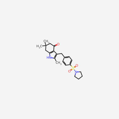 Cc1[nH]c2c(c1Cc1ccc(S(=O)(=O)N3CCCC3)cc1)C(=O)CC(C)(C)C2